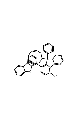 Oc1ccc(-c2cccc3c2oc2ccccc23)c2c1C1=CC=CCC1C2(c1c#cccc1)C1CC#CC/C=C\C1